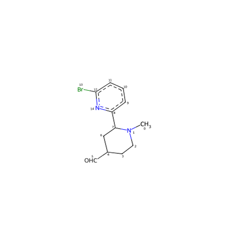 CN1CCC(C=O)CC1c1cccc(Br)n1